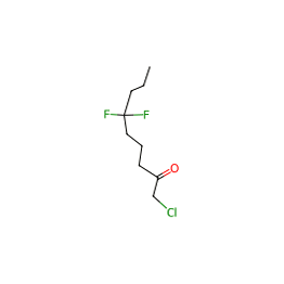 CCCC(F)(F)CCCC(=O)CCl